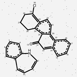 C1=CNc2ccccc2C=C1.O=C1C=c2ccccc2=c2ccc3c(c21)CCCC=3Cl